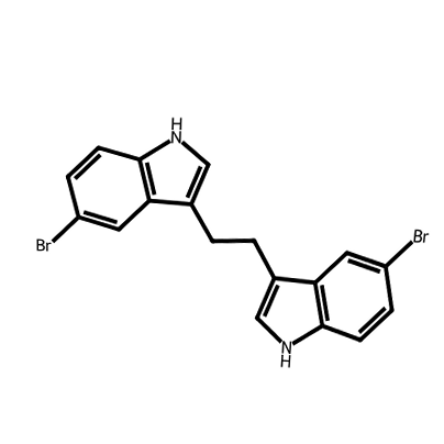 Brc1ccc2[nH]cc(CCc3c[nH]c4ccc(Br)cc34)c2c1